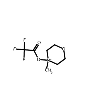 C[N+]1(OC(=O)C(F)(F)F)CCOCC1